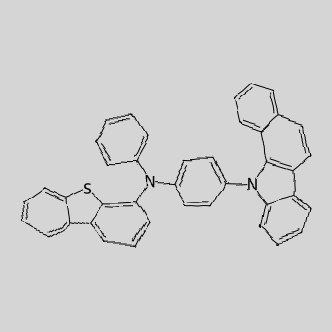 c1ccc(N(c2ccc(-n3c4ccccc4c4ccc5ccccc5c43)cc2)c2cccc3c2sc2ccccc23)cc1